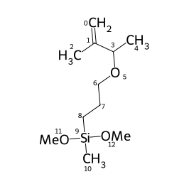 C=C(C)C(C)OCCC[Si](C)(OC)OC